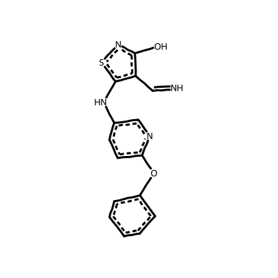 N=Cc1c(O)nsc1Nc1ccc(Oc2ccccc2)nc1